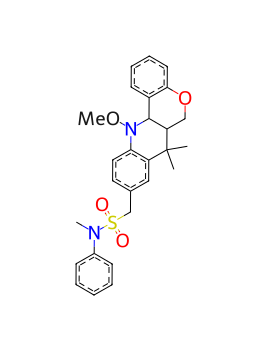 CON1c2ccc(CS(=O)(=O)N(C)c3ccccc3)cc2C(C)(C)C2COc3ccccc3C21